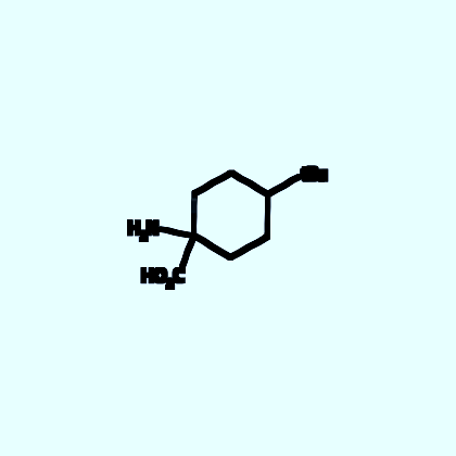 CC(C)(C)C1CCC(N)(C(=O)O)CC1